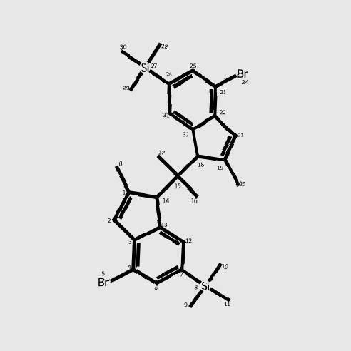 CC1=Cc2c(Br)cc([Si](C)(C)C)cc2C1C(C)(C)C1C(C)=Cc2c(Br)cc([Si](C)(C)C)cc21